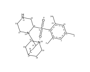 Cc1cc(C)c(S(=O)(=O)C2CNCCN2C2CC3CCN2CC3)c(C)c1